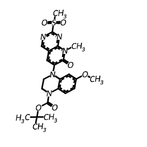 COc1ccc2c(c1)N(c1cc3cnc(S(C)(=O)=O)nc3n(C)c1=O)CCN2C(=O)OC(C)(C)C